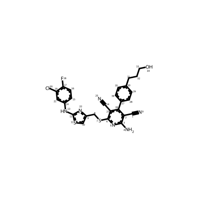 N#Cc1c(N)nc(SCc2csc(Nc3ccc(F)c(Cl)c3)n2)c(C#N)c1-c1ccc(CCCO)cc1